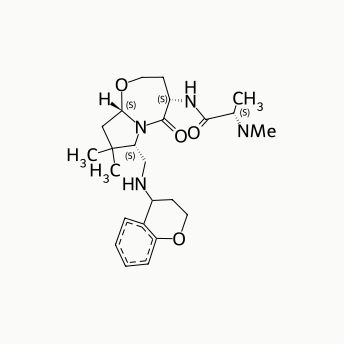 CN[C@@H](C)C(=O)N[C@H]1CCO[C@H]2CC(C)(C)[C@@H](CNC3CCOc4ccccc43)N2C1=O